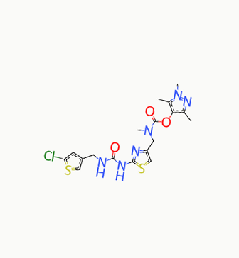 Cc1nn(C)c(C)c1OC(=O)N(C)Cc1csc(NC(=O)NCc2csc(Cl)c2)n1